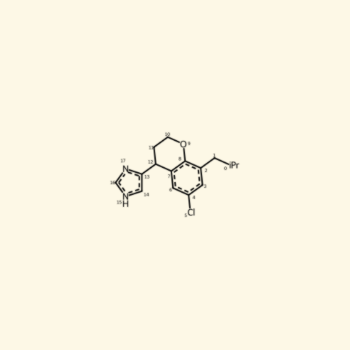 CC(C)Cc1cc(Cl)cc2c1OCCC2c1c[nH]cn1